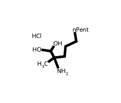 CCCCCCCCC(C)(N)C(O)O.Cl